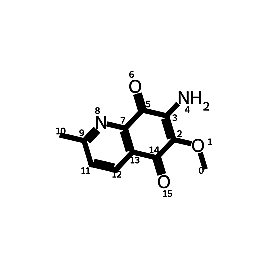 COC1=C(N)C(=O)c2nc(C)ccc2C1=O